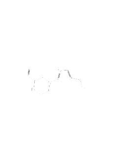 O=CC1CN(c2ncc(CO)s2)CCN1